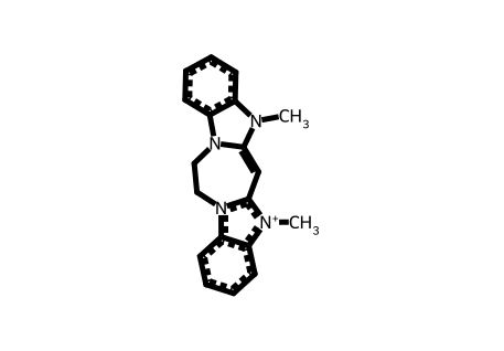 CN1C2=Cc3n(c4ccccc4[n+]3C)CCN2c2ccccc21